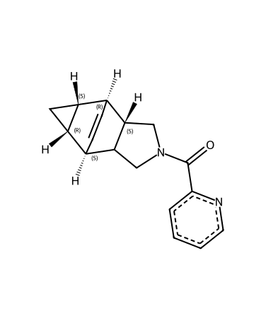 O=C(c1ccccn1)N1CC2[C@@H](C1)[C@H]1C=C[C@@H]2[C@@H]2C[C@H]12